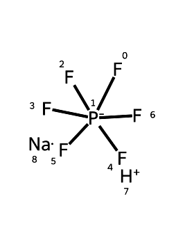 F[P-](F)(F)(F)(F)F.[H+].[Na]